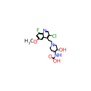 COc1cc(F)c2ncc(Cl)c(CCN3CC[C@H](NC(=O)O)[C@@H](O)C3)c2c1